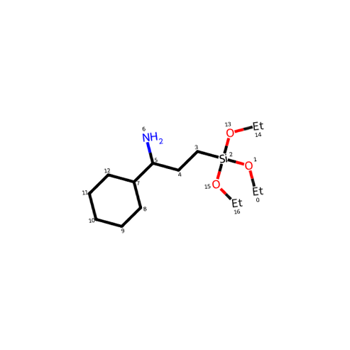 CCO[Si](CCC(N)C1CCCCC1)(OCC)OCC